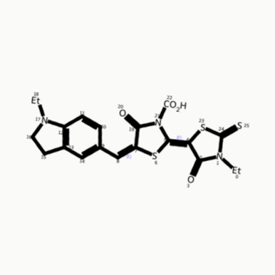 CCN1C(=O)/C(=c2\s/c(=C/c3ccc4c(c3)CCN4CC)c(=O)n2C(=O)O)SC1=S